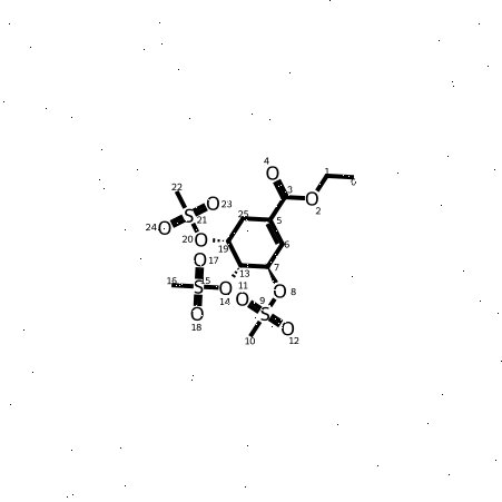 CCOC(=O)C1=C[C@@H](OS(C)(=O)=O)[C@H](OS(C)(=O)=O)[C@H](OS(C)(=O)=O)C1